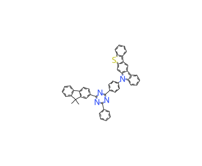 CC1(C)c2ccccc2-c2ccc(-c3nc(-c4ccccc4)nc(-c4ccc(-n5c6ccccc6c6cc7c(cc65)sc5ccccc57)cc4)n3)cc21